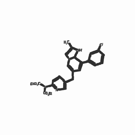 CCOC(=O)N(C(=O)OCC)c1ccc(CC2=CN3C=C(C)NC3C(c3cccc(Cl)c3)=C2)cn1